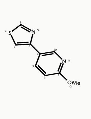 COc1ccc(-c2cs[c]n2)cn1